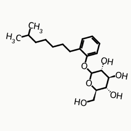 CC(C)CCCCCc1ccccc1OC1O[C@H](CO)[C@@H](O)[C@H](O)[C@H]1O